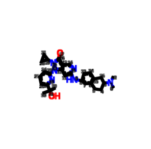 CN(C)C1CCc2cc(Nc3cc4c(cn3)c(=O)n(C3CC3)n4-c3cccc(C(C)(C)O)n3)ccc2C1